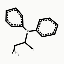 CCC(I)P(c1ccccc1)c1ccccc1